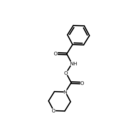 O=C(NOC(=O)N1CCOCC1)c1ccccc1